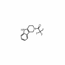 O=C(N1CCc2[nH]c3ccccc3c2C1)C(F)(F)F